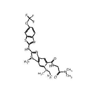 CCN(C)c1cc2c(cc1C(=O)NCC(=O)N(C)C)nc(Nc1nc3ccc(OC(F)(F)F)cc3s1)n2C